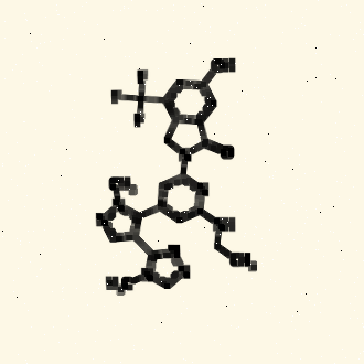 CCNc1cc(-c2c(-c3nncn3C)cnn2C)cc(N2Cc3c(cc(O)cc3C(F)(F)F)C2=O)n1